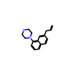 C=CCc1ccc2cccc(N3CC[N]CC3)c2c1